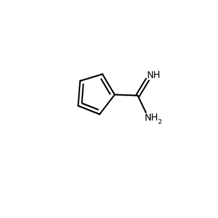 N=C(N)C1=CC=C=C1